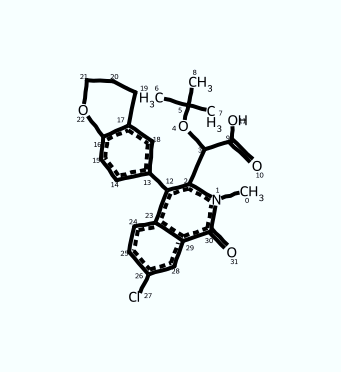 Cn1c(C(OC(C)(C)C)C(=O)O)c(-c2ccc3c(c2)CCCO3)c2ccc(Cl)cc2c1=O